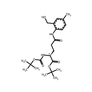 Cc1ccc(NC(=O)CC[C@H](NC(=O)OC(C)(C)C)C(=O)OC(C)(C)C)c(CO)c1